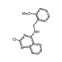 COc1ccccc1CNc1nc(Cl)nc2ccccc12